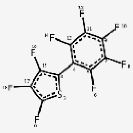 Fc1sc(-c2c(F)c(F)c(F)c(F)c2F)c(F)c1F